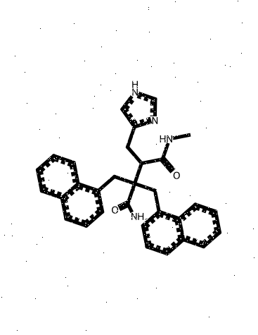 CNC(=O)C(Cc1c[nH]cn1)C(Cc1cccc2ccccc12)(Cc1cccc2ccccc12)C(N)=O